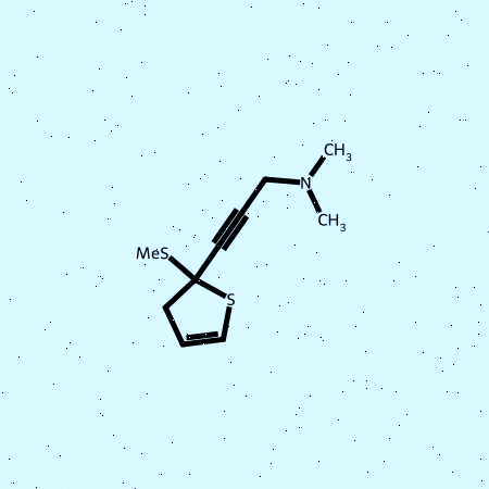 CSC1(C#CCN(C)C)CC=CS1